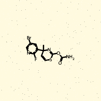 CC1(c2cc(Br)cnc2F)C=CSC(OC(N)=O)=N1